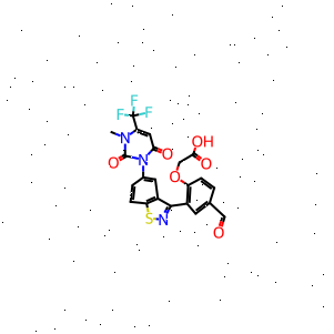 Cn1c(C(F)(F)F)cc(=O)n(-c2ccc3snc(-c4cc(C=O)ccc4OCC(=O)O)c3c2)c1=O